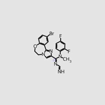 CN(/C(=N\C=N)c1cn2c(n1)-c1cc(Br)ccc1OCC2)c1ccc(F)cc1F